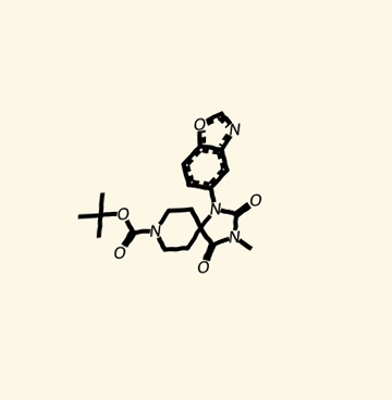 CN1C(=O)N(c2ccc3ocnc3c2)C2(CCN(C(=O)OC(C)(C)C)CC2)C1=O